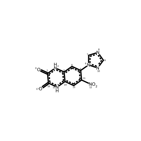 O=c1[nH]c2cc(-n3cncn3)c([N+](=O)[O-])cc2[nH]c1=O